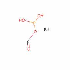 O=COP(O)O.[KH]